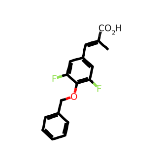 C/C(=C\c1cc(F)c(OCc2ccccc2)c(F)c1)C(=O)O